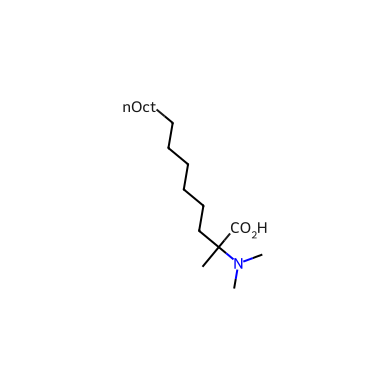 CCCCCCCCCCCCCCC(C)(C(=O)O)N(C)C